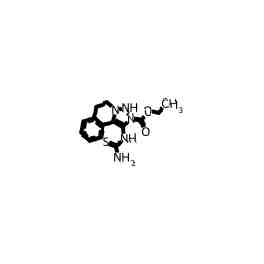 CCOC(=O)N1NN2CCc3ccccc3C2=C1NC(N)=S